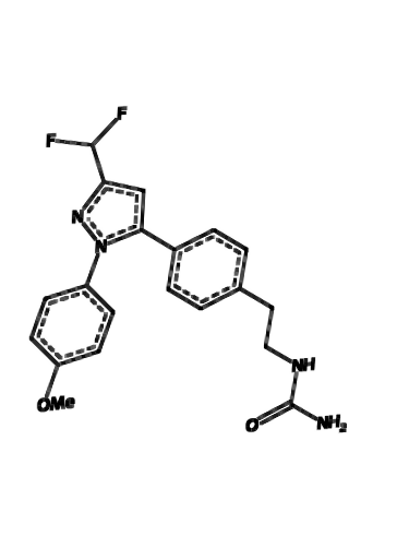 COc1ccc(-n2nc(C(F)F)cc2-c2ccc(CCNC(N)=O)cc2)cc1